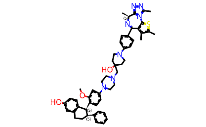 COc1cc(N2CCN(CC3(O)CCN(c4ccc(C5=N[C@@H](C)c6nnc(C)n6-c6sc(C)c(C)c65)cc4)CC3)CC2)ccc1[C@@H]1c2ccc(O)cc2CC[C@@H]1c1ccccc1